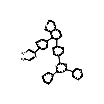 C/C=C(\N=C/N)c1ccc(-c2c(-c3ccc(-c4nc(-c5ccccc5)nc(-c5ccccc5)n4)cc3)ccc3ccccc23)cc1